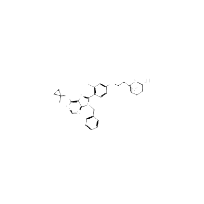 CC1(Oc2ncnc3c2nc(-c2ccc(OCCN4C[C@H]5CCC4CN5)cc2Cl)n3Cc2ccccc2)CC1